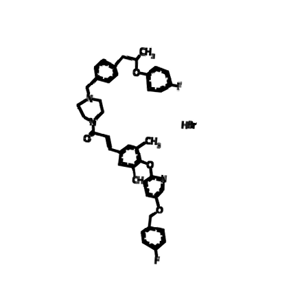 Br.Cc1cc(C=CC(=O)N2CCN(Cc3ccc(CC(C)Oc4ccc(F)cc4)cc3)CC2)cc(C)c1Oc1ccc(OCc2ccc(F)cc2)cn1